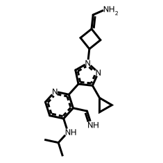 CC(C)Nc1ccnc(-c2cn(C3CC(=CN)C3)nc2C2CC2)c1C=N